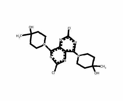 CC1(O)CCN(c2nc(Cl)nc3c(N4CCC(C)(O)CC4)nc(Cl)nc23)CC1